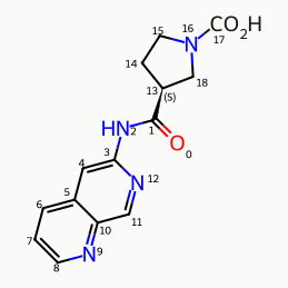 O=C(Nc1cc2cccnc2cn1)[C@H]1CCN(C(=O)O)C1